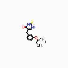 CCC(C)Oc1cccc(CC2=CNC(=S)[N]C2=O)c1